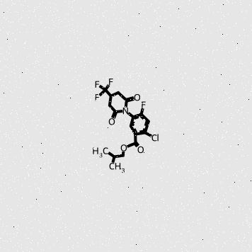 CC(C)COC(=O)c1cc(N2C(=O)CC(C(F)(F)F)CC2=O)c(F)cc1Cl